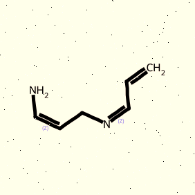 C=C/C=N\C/C=C\N